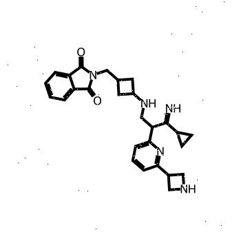 N=C(C1CC1)C(CNC1CC(CN2C(=O)c3ccccc3C2=O)C1)c1cccc(C2CNC2)n1